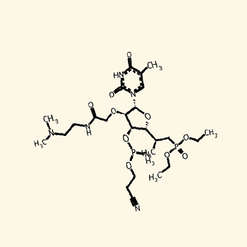 CCOP(=O)(C[C@@H](C)[C@H]1O[C@@H](n2cc(C)c(=O)[nH]c2=O)[C@H](OCC(=O)NCCN(C)C)[C@@H]1OP(N)OCCC#N)OCC